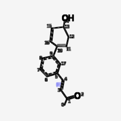 CC(=O)/C=C/c1cccc(C2=CCC(O)C=C2)c1